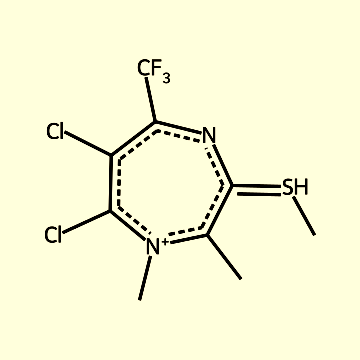 C/[SH]=c1/nc(C(F)(F)F)c(Cl)c(Cl)[n+](C)c1C